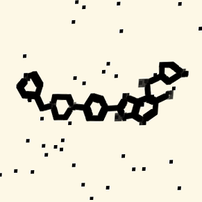 CN1CCC(Nc2c(Cl)cnc3[nH]c(-c4ccc(N5CCN(Cc6ccncc6)CC5)cc4)nc23)C1